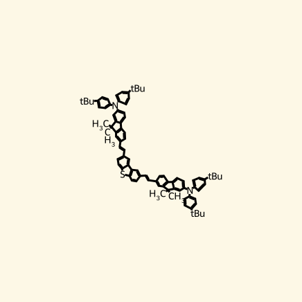 CC(C)(C)c1ccc(N(c2ccc(C(C)(C)C)cc2)c2ccc3c(c2)C(C)(C)c2cc(/C=C/c4ccc5sc6ccc(/C=C/c7ccc8c(c7)C(C)(C)c7cc(N(c9ccc(C(C)(C)C)cc9)c9ccc(C(C)(C)C)cc9)ccc7-8)cc6c5c4)ccc2-3)cc1